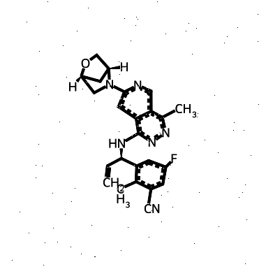 C=C[C@@H](Nc1nnc(C)c2cnc(N3C[C@H]4C[C@@H]3CO4)cc12)c1cc(F)cc(C#N)c1C